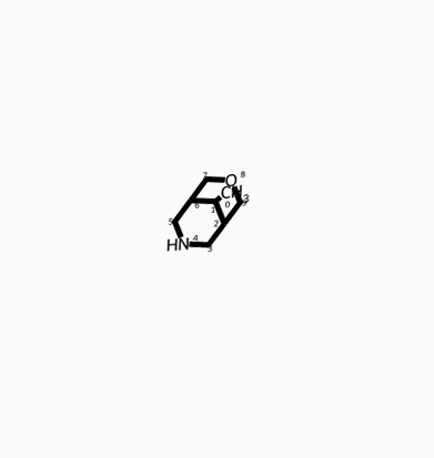 CC1C2CNCC1COC2